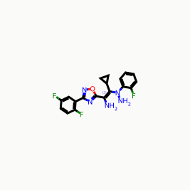 N/C(=C(/C1CC1)N(N)c1ccccc1F)c1nc(-c2cc(F)ccc2F)no1